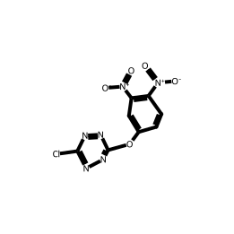 O=[N+]([O-])c1ccc(Oc2nnc(Cl)nn2)cc1[N+](=O)[O-]